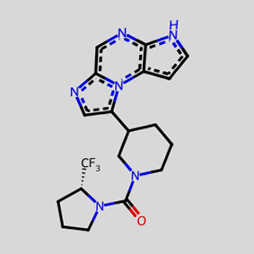 O=C(N1CCCC(c2cnc3cnc4[nH]ccc4n23)C1)N1CCC[C@@H]1C(F)(F)F